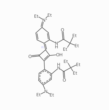 CCN(CC)c1ccc(C2=C(O)/C(=C3/C=CC(=[N+](CC)CC)C=C3NC(=O)C(CC)(CC)CC)C2=O)c(NC(=O)C(CC)(CC)CC)c1